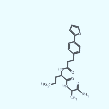 CC(NC(=O)C(CCC(=O)O)NC(=O)CCc1ccc(-c2cccs2)cc1)C(N)=O